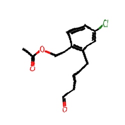 CC(=O)OCc1ccc(Cl)cc1CCCC=O